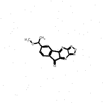 COC(C)c1ccc2c(c1)-c1nc3nonc3nc1C2=O